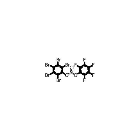 Fc1c(F)c(F)c([O][Al]([Cl])[O]c2c(Br)c(Br)c(Br)c(Br)c2Br)c(F)c1F